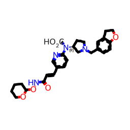 O=C(C=Cc1ccc(N(C(=O)O)[C@@H]2CCN(Cc3ccc4c(c3)CCO4)C2)nc1)NOC1CCCCO1